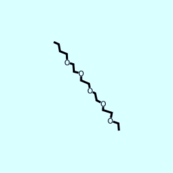 CCCCOCCOCCOCCOCCOCC